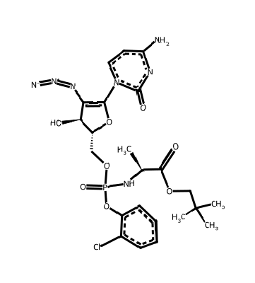 C[C@H](NP(=O)(OC[C@H]1OC(n2ccc(N)nc2=O)=C(N=[N+]=[N-])[C@@H]1O)Oc1ccccc1Cl)C(=O)OCC(C)(C)C